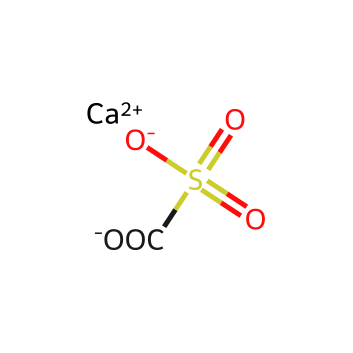 O=C([O-])S(=O)(=O)[O-].[Ca+2]